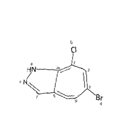 Clc1cc(Br)cc2cn[nH]c12